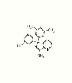 Cc1cc(C2(c3cccc(O)c3)N=C(N)c3ncccc32)cc(C)n1